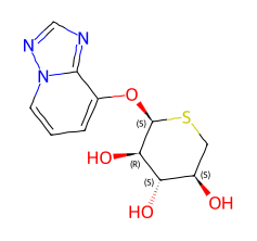 O[C@@H]1[C@@H](O)[C@@H](Oc2cccn3ncnc23)SC[C@H]1O